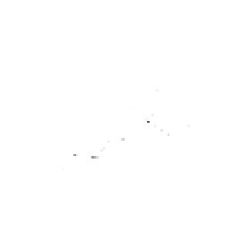 CCCCCC(C)(CC)CO